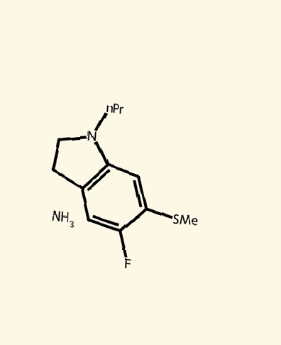 CCCN1CCc2cc(F)c(SC)cc21.N